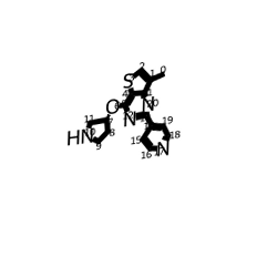 Cc1csc2c(O[C@H]3CCNC3)nc(-c3ccncc3)nc12